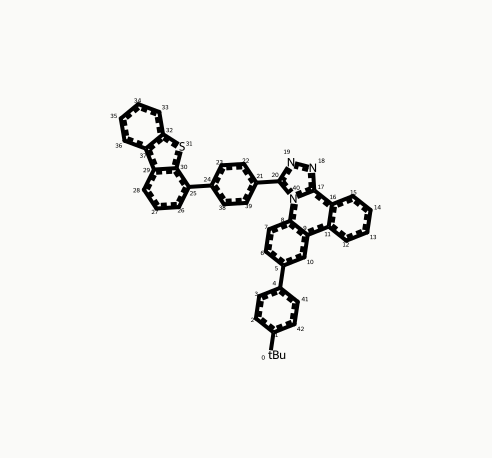 CC(C)(C)c1ccc(-c2ccc3c(c2)c2ccccc2c2nnc(-c4ccc(-c5cccc6c5sc5ccccc56)cc4)n32)cc1